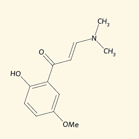 COc1ccc(O)c(C(=O)/C=C/N(C)C)c1